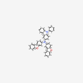 c1ccc(-n2c3ccccc3c3cc(N(c4ccc5c(c4)oc4ccccc45)c4ccc5oc6ccccc6c5c4)ccc32)cc1